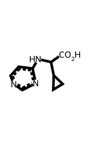 O=C(O)C(Nc1ccn[c]n1)C1CC1